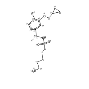 C[C@@H](NS(=O)(=O)CCCCCN)c1ccc(F)c(OCC2CC2)c1